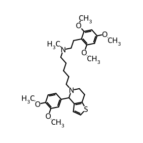 COc1cc(OC)c(CCN(C)CCCCCN2CCc3sccc3C2c2ccc(OC)c(OC)c2)c(OC)c1